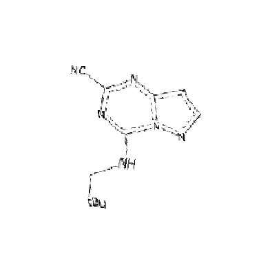 CC(C)(C)CNc1nc(C#N)nc2ccnn12